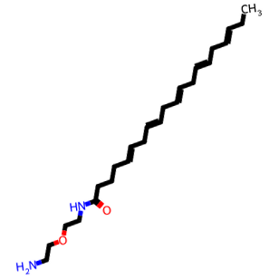 CCC=CCC=CCC=CCC=CCC=CCCCC(=O)NCCOCCN